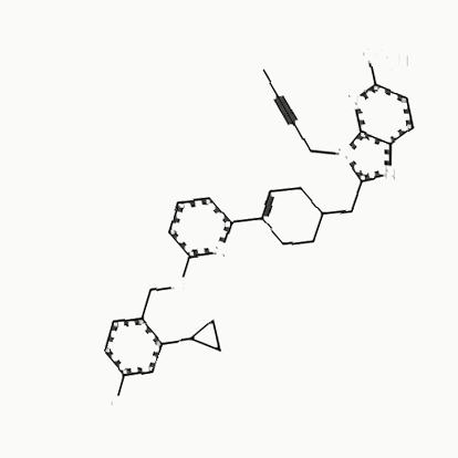 CC#CCn1c(CC2CC=C(c3cccc(OCc4ccc(Cl)cc4C4CC4)n3)CC2)nc2ccc(C(=O)O)nc21